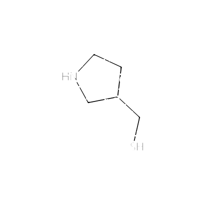 SCC1CCNC1